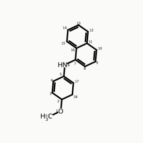 COC1C=CC(Nc2cccc3ccccc23)=CC1